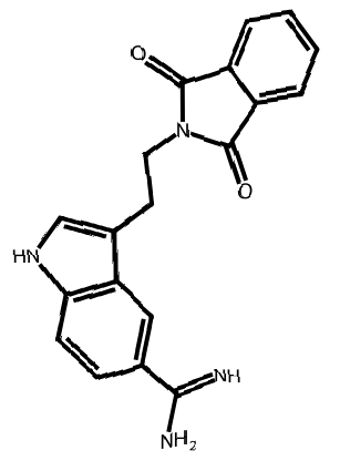 N=C(N)c1ccc2[nH]cc(CCN3C(=O)c4ccccc4C3=O)c2c1